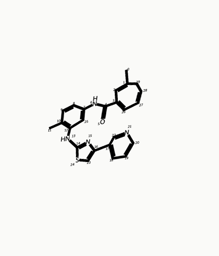 CC1=CC(C(=O)Nc2ccc(C)c(Nc3nc(-c4cccnc4)cs3)c2)=CC=CC1